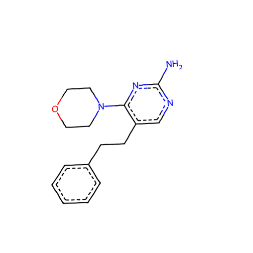 Nc1ncc(CCc2ccccc2)c(N2CCOCC2)n1